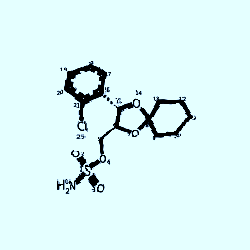 NS(=O)(=O)OC[C@@H]1OC2(CCCCC2)O[C@H]1c1ccccc1Cl